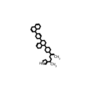 C/C=C(\CCC(C)C1=CNCC1)C1CCC(C2CCC(C3C=CC(C4C=CCC5C=CCCC54)CC3)C3C=CCCC32)CC1